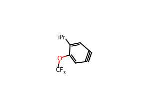 CC(C)c1cc#ccc1OC(F)(F)F